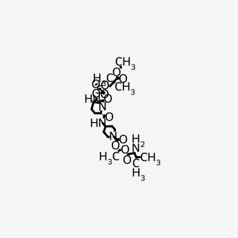 CCOC(=O)C(C)(C)COS(=O)(=O)ON1C(=O)N2C[C@H]1CC[C@H]2C(=O)NC1CCN(C(=O)OC(C)OC(=O)[C@@H](N)C(C)C)CC1